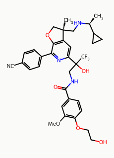 COc1cc(C(=O)NCC(O)(c2cc3c(c(-c4ccc(C#N)cc4)n2)OC[C@]3(C)CN[C@@H](C)C2CC2)C(F)(F)F)ccc1OCCO